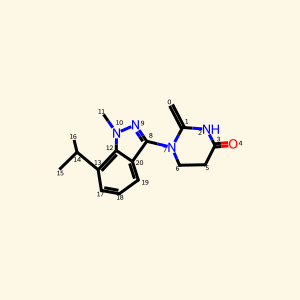 C=C1NC(=O)CCN1c1nn(C)c2c(C(C)C)cccc12